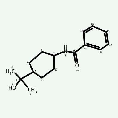 CC(C)(O)C1CCC(NC(=O)c2ccccc2)CC1